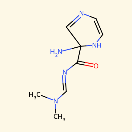 CN(C)/C=N/C(=O)C1(N)C=NC=CN1